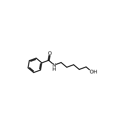 O=C(NCCCCCO)c1ccccc1